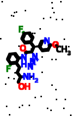 COc1ccc([C@H](c2ccc(F)cc2)[C@H](N=[N+]=[N-])C(=O)Nc2cccc(F)c2CCC(N)CO)cn1